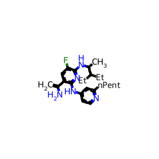 C=C(N)c1cc(F)c(NC(C)C(CC)CC)nc1Nc1ccnc(CCCCC)c1